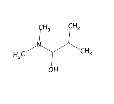 CC(C)C(O)N(C)C